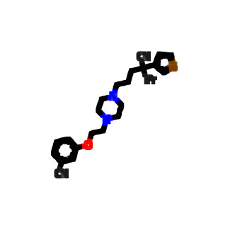 CC(C)C(C#N)(CCCN1CCN(CCOc2cccc(C#N)c2)CC1)c1ccsc1